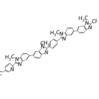 Cc1ccc(-c2nc3cc(-c4ccc5nc(-c6ccc(-c7nc8cc(-c9ccc%10nc(C)n(C)c%10c9)ccc8n7C)cc6)n(C)c5c4)ccc3n2C)nc1